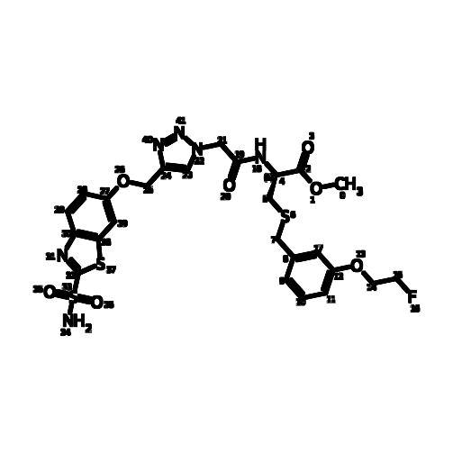 COC(=O)[C@@H](CSCc1cccc(OCCF)c1)NC(=O)Cn1cc(COc2ccc3nc(S(N)(=O)=O)sc3c2)nn1